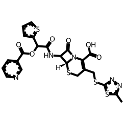 Cc1nnc(SCC2=C(C(=O)O)N3C(=O)C(NC(=O)C(OC(=O)c4cccnc4)c4cccs4)[C@H]3SC2)s1